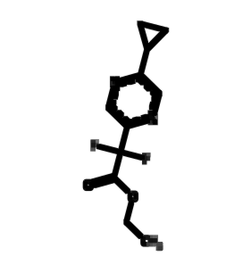 CCOC(=O)C(F)(F)c1cnc(C2CC2)cn1